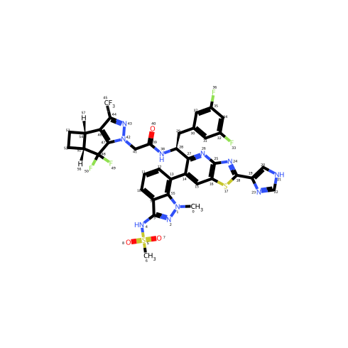 Cn1nc(NS(C)(=O)=O)c2cccc(-c3cc4sc(-c5c[nH]cn5)nc4nc3[C@H](Cc3cc(F)cc(F)c3)NC(=O)Cn3nc(C(F)(F)F)c4c3C(F)(F)[C@@H]3CC[C@H]43)c21